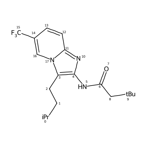 CC(C)CCc1c(NC(=O)CC(C)(C)C)nc2ccc(C(F)(F)F)cn12